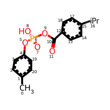 Cc1ccc(OP(=O)(O)OC(=O)c2ccc(C(C)C)cc2)cc1